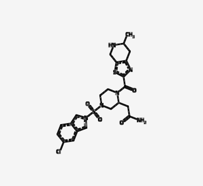 CC1Cc2nc(C(=O)N3CCN(S(=O)(=O)n4cc5ccc(Cl)cc5c4)CC3CC(N)=O)sc2CN1